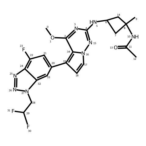 COc1nc(NC2CC(C)(NC(C)=O)C2)nn2ccc(-c3cc(F)c4nnn(CC(F)F)c4c3)c12